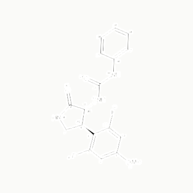 COc1cc(F)c([C@H]2CNC(=O)[C@@H]2NC(=O)Nc2ccccc2)c(F)c1